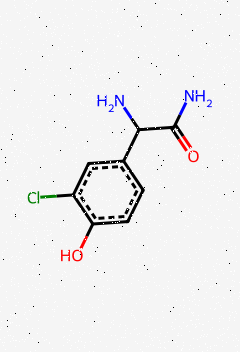 NC(=O)C(N)c1ccc(O)c(Cl)c1